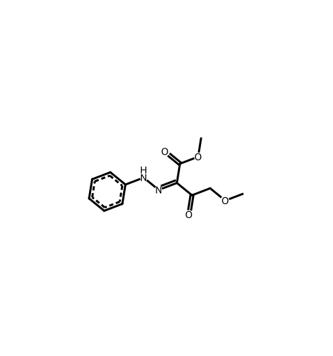 COCC(=O)/C(=N/Nc1ccccc1)C(=O)OC